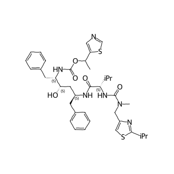 CC(C)c1nc(CN(C)C(=O)N[C@H](C(=O)N[C@@H](Cc2ccccc2)C[C@H](O)[C@H](Cc2ccccc2)NC(=O)OC(C)c2cncs2)C(C)C)cs1